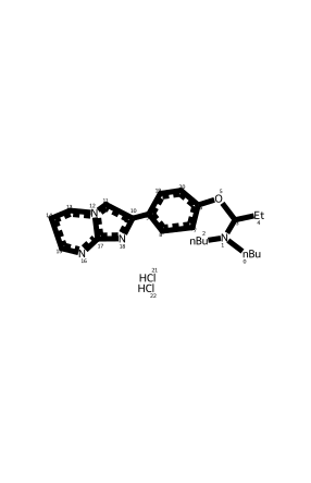 CCCCN(CCCC)C(CC)Oc1ccc(-c2cn3cccnc3n2)cc1.Cl.Cl